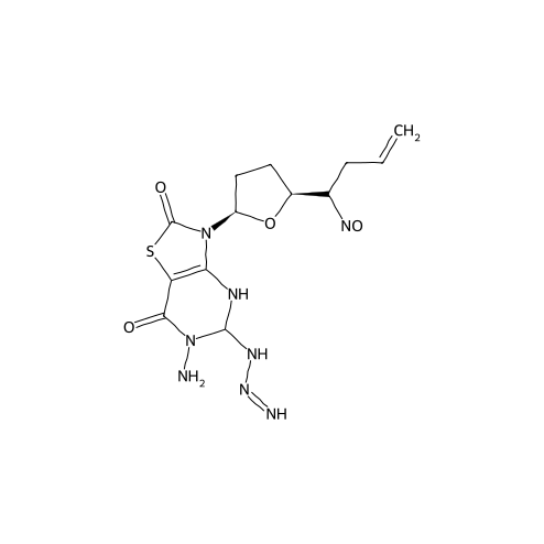 C=CCC(N=O)[C@@H]1CC[C@H](n2c3c(sc2=O)C(=O)N(N)C(NN=N)N3)O1